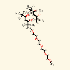 CC(C)(C)C(=O)C=C([O-])C(C)(C)C.CC(C)(C)C(=O)C=C([O-])C(C)(C)C.COCCOCCOCCOCCOC.[Sr+2]